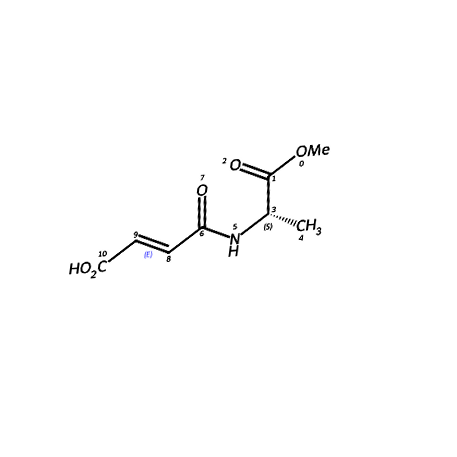 COC(=O)[C@H](C)NC(=O)/C=C/C(=O)O